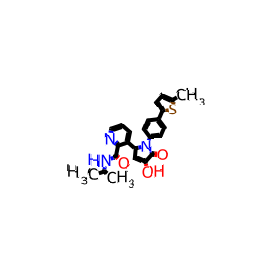 Cc1ccc(-c2ccc(N3C(=O)C(O)=CC3c3cccnc3C(=O)NC(C)C)cc2)s1